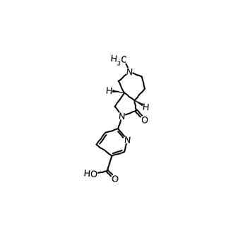 CN1CC[C@@H]2C(=O)N(c3ccc(C(=O)O)cn3)C[C@@H]2C1